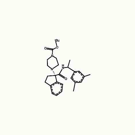 Cc1cc(C)cc(C(C)NC(=O)[C@]2(N3CCN(C(=O)OC(C)(C)C)CC3)CCc3ccccc32)c1